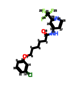 O=C(CCCCCOc1cccc(Cl)c1)Nc1ccnc(C(F)(F)F)c1